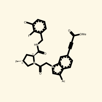 COC(=O)C#Cc1ccc2c(C(C)=O)cn(CC(=O)N3C[C@H](F)C[C@H]3C(=O)NCc3cccc(Cl)c3F)c2c1